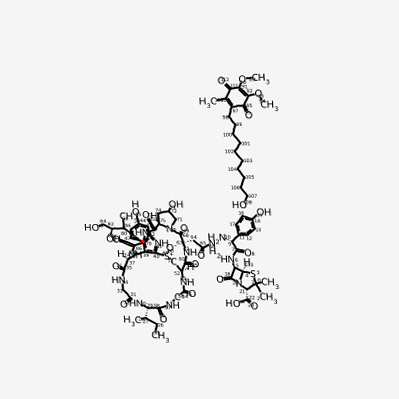 CC1(C)S[C@@H]2[C@H](NC(=O)[C@H](N)c3ccc(O)cc3)C(=O)N2[C@H]1C(=O)O.CCC(C)[C@@H]1NC(=O)CNC(=O)[C@@H]2Cc3c([nH]c4cc(O)ccc34)[S@+]([O-])C[C@H](NC(=O)CNC1=O)C(=O)N[C@@H](CC(N)=O)C(=O)N1CC(O)C[C@H]1C(=O)N[C@@H](C(C)[C@@H](O)CO)C(=O)N2.COC1=C(OC)C(=O)C(CCCCCCCCCCO)=C(C)C1=O